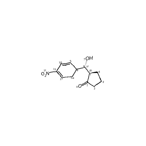 O=C1CCC[C@@H]1[C@@H](O)C1C=CC([N+](=O)[O-])=CC1